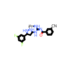 CC(C)N/C(=N/C(=O)c1cccc(C#N)c1)NC1CC(c2cc(F)cc(F)c2)NN1